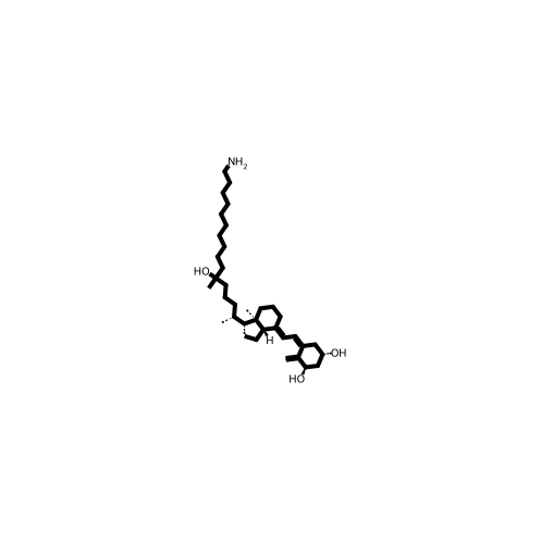 C=C1/C(=C\C=C2/CCC[C@]3(C)[C@@H]([C@H](C)CCCC(C)(O)CCCCCCCCCCN)CC[C@@H]23)C[C@H](O)C[C@H]1O